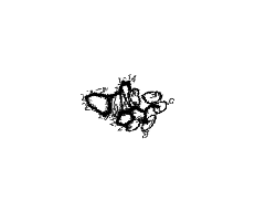 COC(=O)C(C(=O)OC)C(=O)C1(n2cccc2C2CCCCC2)CCCC1